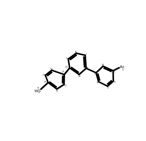 CC(=O)c1cccc(-c2cccc(-c3ccc(O)cc3)c2)c1